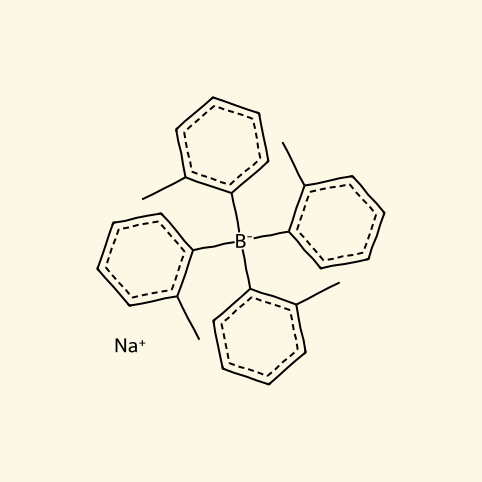 Cc1ccccc1[B-](c1ccccc1C)(c1ccccc1C)c1ccccc1C.[Na+]